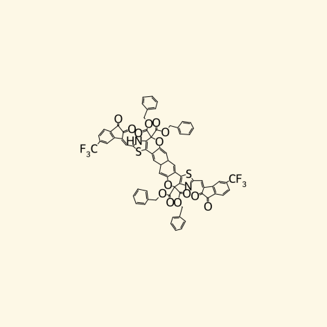 O=C1C(=O)c2ccc(C(F)(F)F)cc2/C1=C/c1nc2c(s1)C1=CC3C=C4OC(C(=O)OCc5ccccc5)(C(=O)OCc5ccccc5)C5=C(SC(/C=C6\C(=O)C(=O)c7ccc(C(F)(F)F)cc76)N5)C4=CC3C=C1OC2(C(=O)OCc1ccccc1)C(=O)OCc1ccccc1